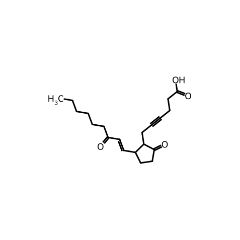 CCCCCCC(=O)C=CC1CCC(=O)C1CC#CCCC(=O)O